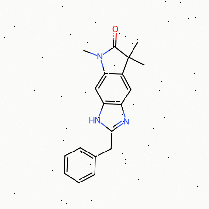 CN1C(=O)C(C)(C)c2cc3nc(Cc4ccccc4)[nH]c3cc21